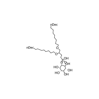 CCCCCCCCCCCCCCCCCCOCC(CCP(=O)(O)O[C@@H]1[C@@H](O)[C@H](O)[C@@H](O)[C@H](O)[C@@H]1O)OCCCCCCCCCCCCCCCCCC